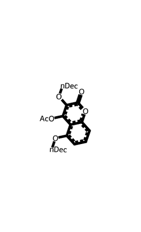 CCCCCCCCCCOc1c(OC(C)=O)c2c(OCCCCCCCCCC)cccc2oc1=O